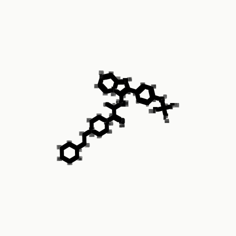 CC(Nc1c(-c2ccc(OC(F)(F)F)cc2)nc2cnccn12)C(=O)N1CCN(CCC2CCCCC2)CC1